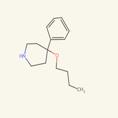 CCCCOC1(c2c[c]ccc2)CCNCC1